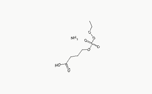 CCOOS(=O)(=O)OCCCC(=O)O.N